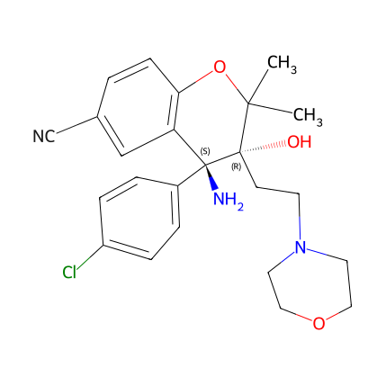 CC1(C)Oc2ccc(C#N)cc2[C@@](N)(c2ccc(Cl)cc2)[C@]1(O)CCN1CCOCC1